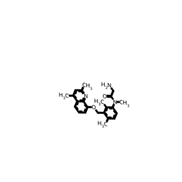 Cc1cc(C)c2cccc(OCc3c(C)ccc(N(C)C(=O)CN)c3C)c2n1